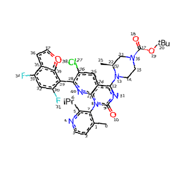 Cc1ccnc(C(C)C)c1-n1c(=O)nc(N2CCN(C(=O)OC(C)(C)C)C[C@@H]2C)c2cc(Cl)c(-c3c(F)cc(F)c4ccoc34)nc21